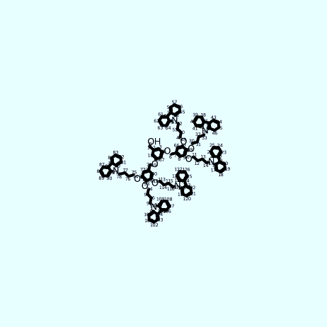 OCc1cc(OCc2cc(OCCCCn3c4ccccc4c4ccccc43)c(OCCCCn3c4c(c5ccccc53)C=CCC4)c(OCCCCn3c4ccccc4c4ccccc43)c2)cc(OCc2cc(OCCCCn3c4ccccc4c4ccccc43)c(OCCCCn3c4ccccc4c4ccccc43)c(OCCCCn3c4ccccc4c4ccccc43)c2)c1